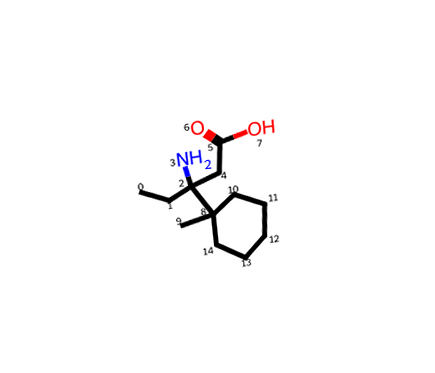 CCC(N)(CC(=O)O)C1(C)CCCCC1